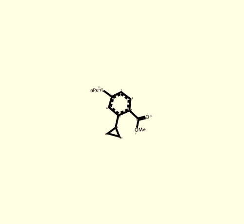 CCCCCc1ccc(C(=O)OC)c(C2CC2)c1